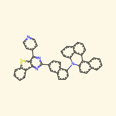 c1cc(N2c3ccc4ccccc4c3-c3cccc4cccc2c34)c2ccc(-c3nc(-c4ccncc4)c4sc5ccccc5c4n3)cc2c1